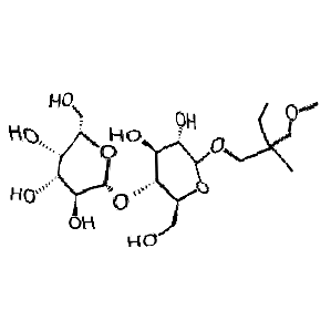 CCC(C)(COC)COC1O[C@@H](CO)[C@H](O[C@H]2O[C@@H](CO)[C@@H](O)[C@@H](O)[C@@H]2O)[C@@H](O)[C@@H]1O